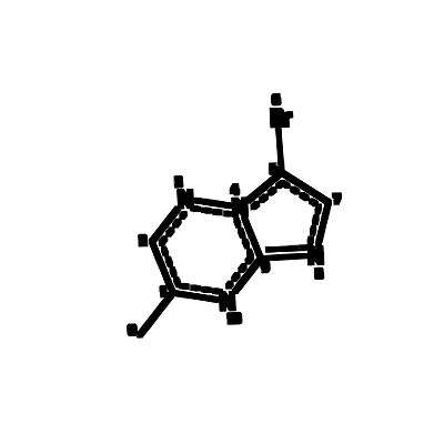 Cc1cnn2c(Br)cnc2n1